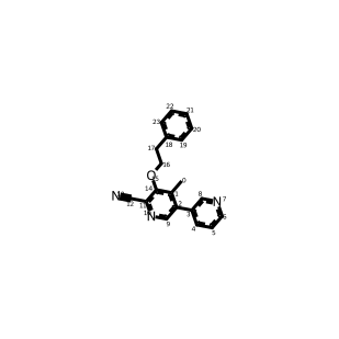 Cc1c(-c2cccnc2)cnc(C#N)c1OCCc1ccccc1